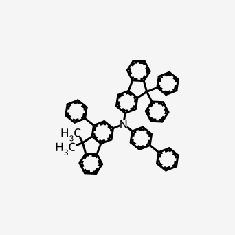 CC1(C)c2ccccc2-c2cc(N(c3ccc(-c4ccccc4)cc3)c3ccc4c(c3)C(c3ccccc3)(c3ccccc3)c3ccccc3-4)cc(-c3ccccc3)c21